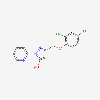 Oc1cc(COc2ccc(Cl)cc2Cl)nn1-c1ccccn1